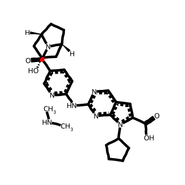 CNC.O=C(O)c1cc2cnc(Nc3ccc(C(=O)N4[C@@H]5CC[C@H]4C[C@@H](O)C5)cn3)nc2n1C1CCCC1